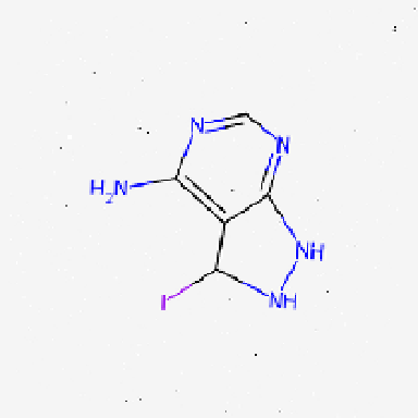 Nc1ncnc2c1C(I)NN2